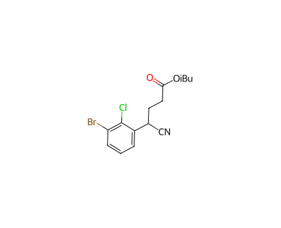 CC(C)COC(=O)CCC(C#N)c1cccc(Br)c1Cl